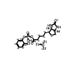 CCN(CC)CC.O=C1N[C@H]2[C@H](CS[C@H]2CCCCC(=O)OP(=O)(O)Oc2ccccc2Cl)N1